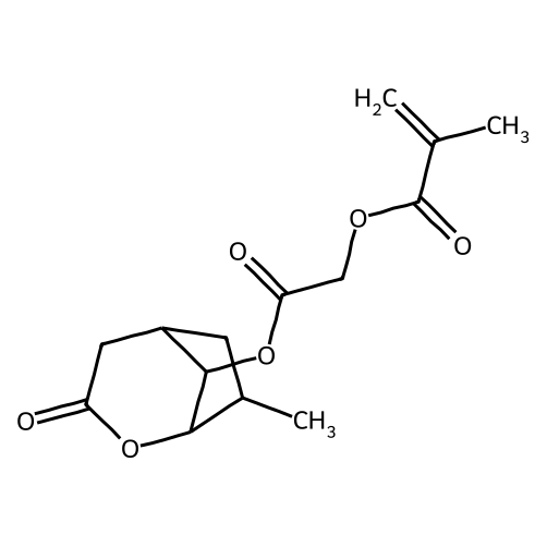 C=C(C)C(=O)OCC(=O)OC1C2CC(=O)OC1C(C)C2